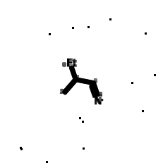 CCC(C)C=[N]